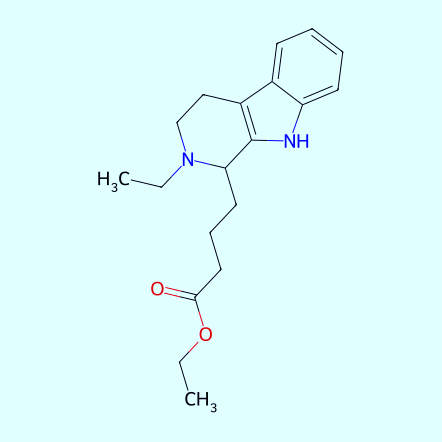 CCOC(=O)CCCC1c2[nH]c3ccccc3c2CCN1CC